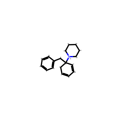 C1=CCC(Cc2ccccc2)(N2CCCCC2)C=C1